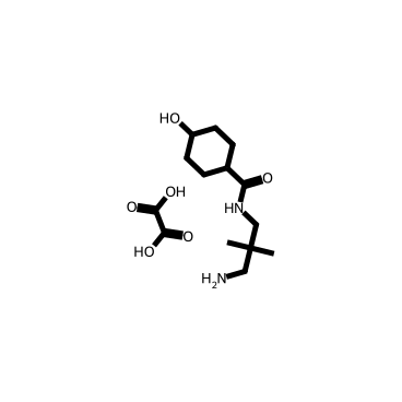 CC(C)(CN)CNC(=O)C1CCC(O)CC1.O=C(O)C(=O)O